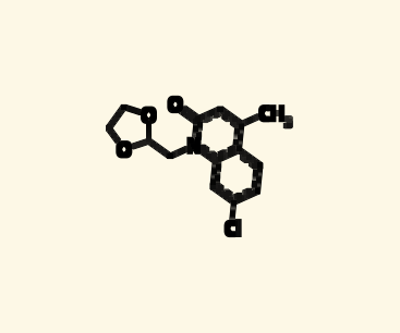 Cc1cc(=O)n(CC2OCCO2)c2cc(Cl)ccc12